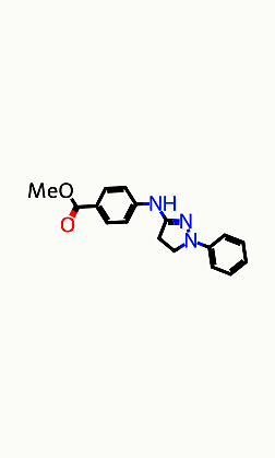 COC(=O)c1ccc(NC2=NN(c3ccccc3)CC2)cc1